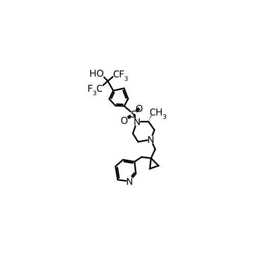 C[C@@H]1CN(CC2(Cc3cccnc3)CC2)CCN1S(=O)(=O)c1ccc(C(O)(C(F)(F)F)C(F)(F)F)cc1